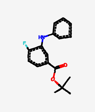 CC(C)(C)OC(=O)c1ccc(F)c(Nc2ccccc2)c1